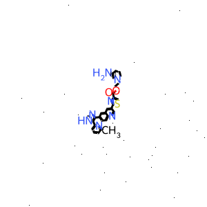 Cc1cccc(-c2[nH]cnc2-c2ccc3ncc(-c4nc(C(=O)OCCN5CCC[C@H](N)C5)cs4)cc3c2)n1